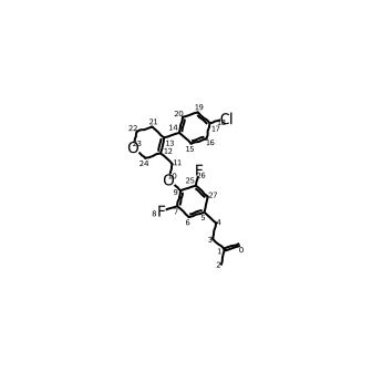 C=C(C)CCc1cc(F)c(OCC2=C(c3ccc(Cl)cc3)CCOC2)c(F)c1